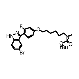 CN(CCCCCCOc1ccc(-c2n[nH]c3ccc(Br)cc23)c(F)c1)C(=O)OC(C)(C)C